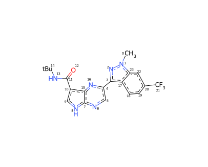 Cn1nc(-c2cnc3[nH]cc(C(=O)NC(C)(C)C)c3n2)c2ccc(C(F)(F)F)cc21